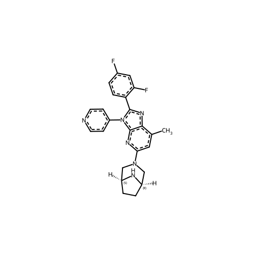 Cc1cc(N2C[C@H]3CC[C@@H](C2)N3)nc2c1nc(-c1ccc(F)cc1F)n2-c1ccncc1